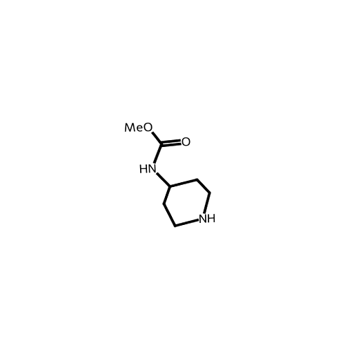 COC(=O)NC1CCNCC1